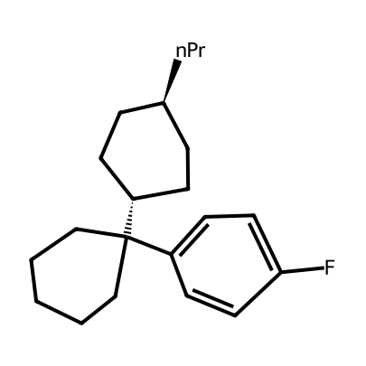 CCC[C@H]1CC[C@H](C2(c3ccc(F)cc3)CCCCC2)CC1